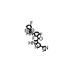 O=C(c1c(F)ccc(NS(=O)(=O)c2cc(F)ccc2F)c1F)c1c[nH]c2ncc(-c3cncs3)cc12